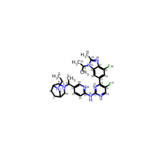 CCN1CC2CCC1CN(C(C)c1ccc(Nc3ncc(F)c(-c4cc(F)c5nc(C)n(C(C)C)c5c4)n3)nc1)C2